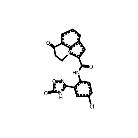 O=C1CCn2c(C(=O)Nc3ccc(Cl)cc3-c3noc(=O)[nH]3)cc3cccc1c32